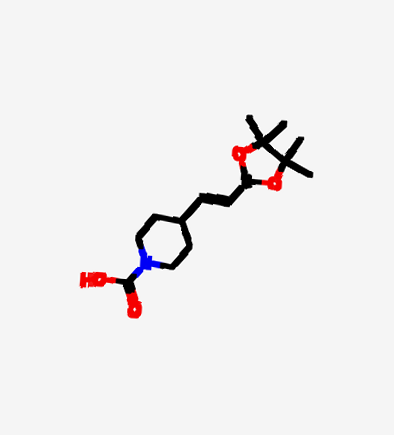 CC1(C)OB(C=CC2CCN(C(=O)O)CC2)OC1(C)C